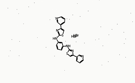 Br.Br.c1cc(Nc2nc(-c3cccnc3)cs2)cc(Nc2nc(-c3cccnc3)cs2)c1